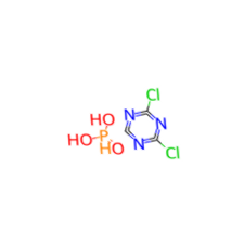 Clc1ncnc(Cl)n1.O=[PH](O)O